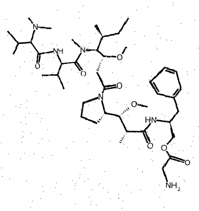 CC[C@H](C)[C@@H]([C@@H](CC(=O)N1CCC[C@H]1[C@H](OC)[C@@H](C)C(=O)N[C@H](COC(=O)CN)Cc1ccccc1)OC)N(C)C(=O)C(NC(=O)C(C(C)C)N(C)C)C(C)C